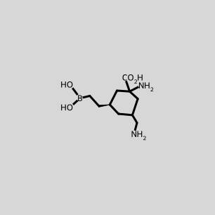 NCC1C[C@@H](CCB(O)O)CC(N)(C(=O)O)C1